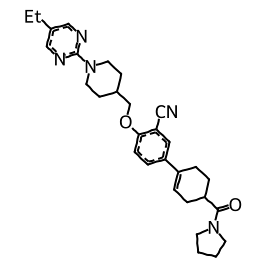 CCc1cnc(N2CCC(COc3ccc(C4=CCC(C(=O)N5CCCC5)CC4)cc3C#N)CC2)nc1